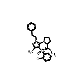 COC(=O)C1CCCN1c1c(S(=O)(=O)c2ccccc2Cl)c(C)nn1CCc1ccccc1